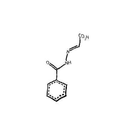 O=C(O)C=NNC(=O)c1ccccc1